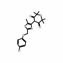 Cc1sc(COc2ccc(Cl)cc2)nc1C1C(=O)C(C)(C)OC(C)(C)C1=O